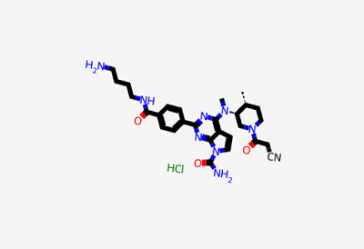 C[C@@H]1CCN(C(=O)CC#N)C[C@@H]1N(C)c1nc(-c2ccc(C(=O)NCCCCN)cc2)nc2c1ccn2C(N)=O.Cl